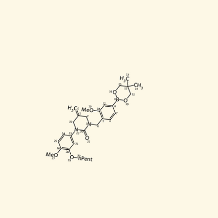 C=C1CN(Cc2ccc(B3OCC(C)(C)CO3)cc2OC)C(=O)N(c2ccc(OC)c(OCCCCC)c2)C1